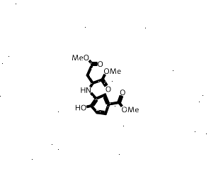 COC(=O)CC(Nc1cc(C(=O)OC)ccc1O)C(=O)OC